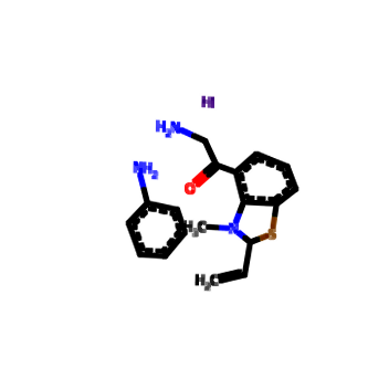 C=CC1Sc2cccc(C(=O)CN)c2N1C.I.Nc1ccccc1